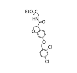 CCOC(=O)CNC(=O)C1COc2cc(OCc3ccc(Cl)cc3Cl)ccc21